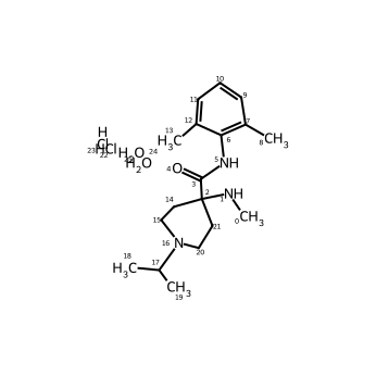 CNC1(C(=O)Nc2c(C)cccc2C)CCN(C(C)C)CC1.Cl.Cl.O.O